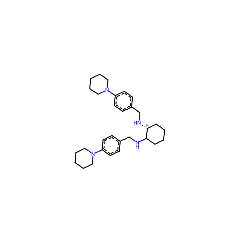 c1cc(N2CCCCC2)ccc1CNC1CCCC[C@H]1NCc1ccc(N2CCCCC2)cc1